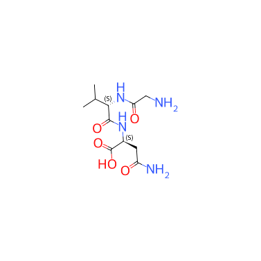 CC(C)[C@H](NC(=O)CN)C(=O)N[C@@H](CC(N)=O)C(=O)O